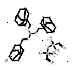 C1C2CC3CC1CC(COP(OCC14CC5CC(CC(C5)C1)C4)OCC14CC5CC(CC(C5)C1)C4)(C2)C3.C=C[Si](C)(C)O[Si](C)(C)C=C.[Pt]